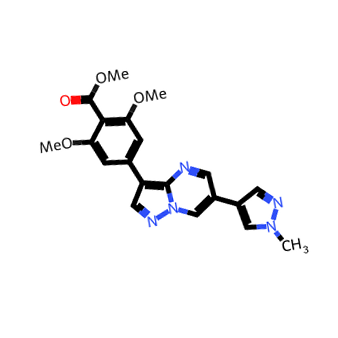 COC(=O)c1c(OC)cc(-c2cnn3cc(-c4cnn(C)c4)cnc23)cc1OC